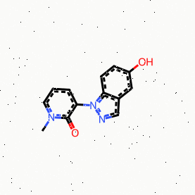 Cn1cccc(-n2ncc3cc(O)ccc32)c1=O